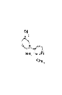 Cc1cc(-c2cc(N)ccc2N)ccn1